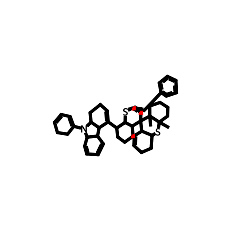 CC12CCCCC1(C)C1(c3cc(-c4ccccc4)ccc3SC3C(C4=CCCC5C4C4C=CC=CC4N5C4=CC=CCC4)CCCC31)C1C=CCCC1S2